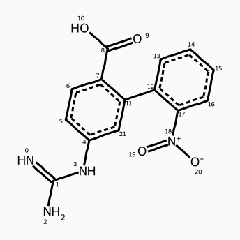 N=C(N)Nc1ccc(C(=O)O)c(-c2ccccc2[N+](=O)[O-])c1